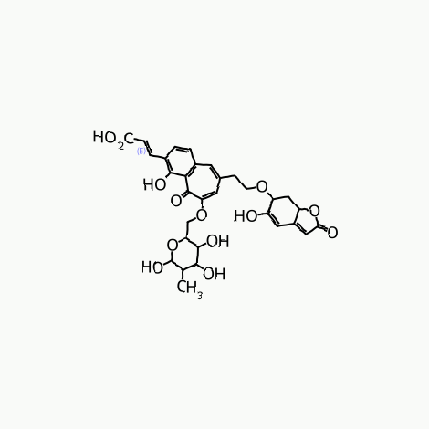 CC1C(O)OC(COc2cc(CCOC3CC4OC(=O)C=C4C=C3O)cc3ccc(/C=C/C(=O)O)c(O)c3c2=O)C(O)C1O